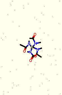 CC(=O)N(C)[Si](N(C)C(C)=O)(N(C)C(C)=O)N(C)C(C)=O